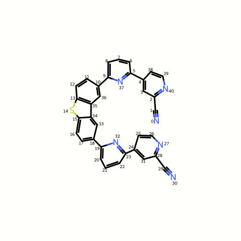 N#Cc1cc(-c2cccc(-c3ccc4sc5ccc(-c6cccc(-c7ccnc(C#N)c7)n6)cc5c4c3)n2)ccn1